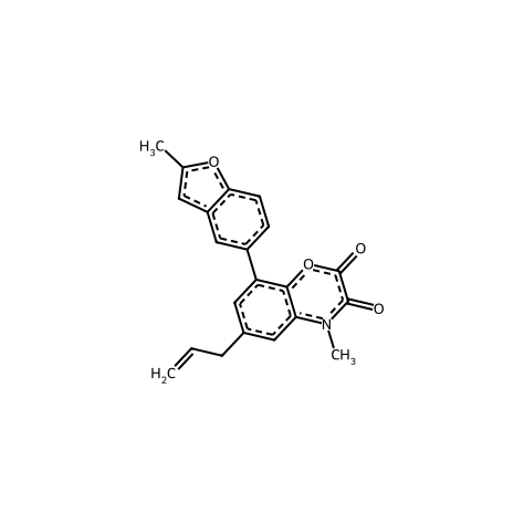 C=CCc1cc(-c2ccc3oc(C)cc3c2)c2oc(=O)c(=O)n(C)c2c1